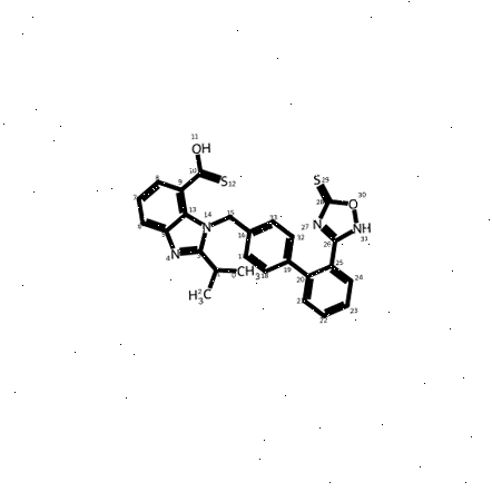 CC(C)c1nc2cccc(C(O)=S)c2n1Cc1ccc(-c2ccccc2-c2nc(=S)o[nH]2)cc1